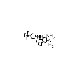 Nc1cc(Cl)c(C(=O)N[C@H]2CC[C@H](C(F)(F)F)CC2)cc1N